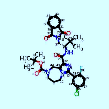 CC(C)(C)OC(=O)N1CCCn2c(-c3cc(Cl)ccc3F)nc(C(=O)N[C@H](CN3C(=O)c4ccccc4C3=O)C(C)(C)C)c2C1